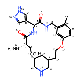 CC(=O)N[C@@H](CC(=O)O)C(=O)NC(C(=O)NCc1cc(OCCC2CCCNC2)ccc1C)c1cn[nH]c1